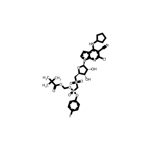 CC(C)(C)C(=O)OCOP(=O)(CS(=O)(=O)C[C@H]1O[C@@H](n2ccc3c(NC4CCCC4)c(C#N)c(Cl)nc32)[C@H](O)[C@@H]1O)Oc1ccc(F)cc1